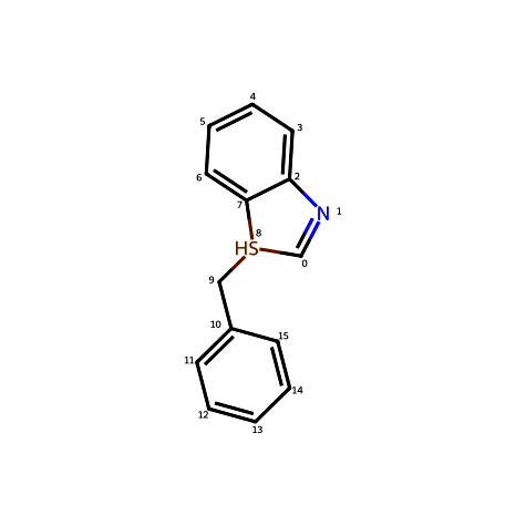 C1=Nc2ccccc2[SH]1Cc1ccccc1